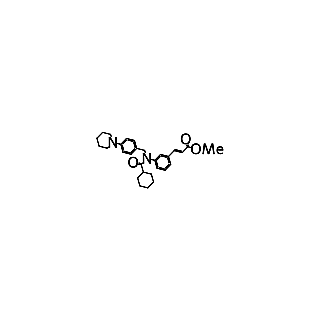 COC(=O)/C=C/c1cccc(N(Cc2ccc(N3CCCCC3)cc2)C(=O)C2CCCCC2)c1